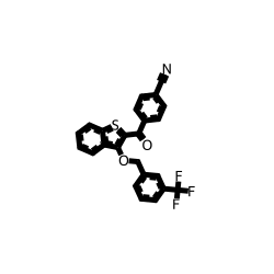 N#Cc1ccc(C(=O)c2sc3ccccc3c2OCc2cccc(C(F)(F)F)c2)cc1